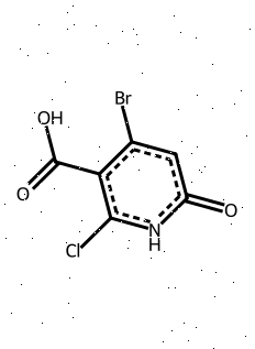 O=C(O)c1c(Br)cc(=O)[nH]c1Cl